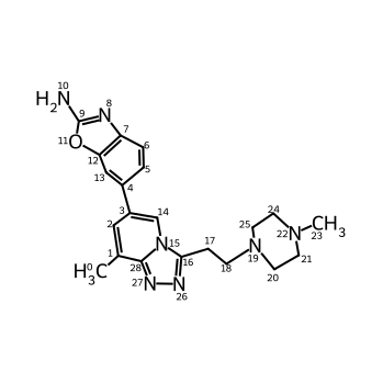 Cc1cc(-c2ccc3nc(N)oc3c2)cn2c(CCN3CCN(C)CC3)nnc12